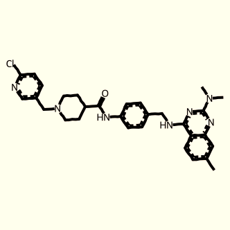 Cc1ccc2c(NCc3ccc(NC(=O)C4CCN(Cc5ccc(Cl)nc5)CC4)cc3)nc(N(C)C)nc2c1